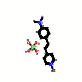 CC[n+]1ccc(C=Cc2ccc(N(C)C)cc2)cc1.[O-][Cl+3]([O-])([O-])[O-]